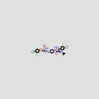 O=C(N[C@H]1CC[C@H](CNC[C@@H](O)COc2ccc(Cl)c(F)c2)CC1)c1cn(C2CC2)c2cc(Cl)c(F)cc2c1=O